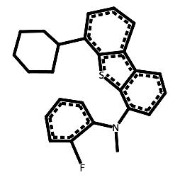 CN(c1ccccc1F)c1cccc2c1sc1c(C3CCCCC3)cccc12